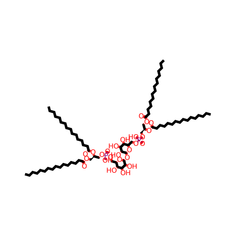 CCCCCCCCCCCCCCCC(=O)OC[C@H](COP(=O)(O)OCC1OC(OC2OC(COP(=O)(O)OC[C@@H](COC(=O)CCCCCCCCCCCCCCC)OC(=O)CCCCCCCCCCCCCCC)C(O)C(O)C2O)C(O)C(O)C1O)OC(=O)CCCCCCCCCCCCCCC